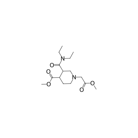 CCN(CC)C(=O)C1CN(CC(=O)OC)CCC1C(=O)OC